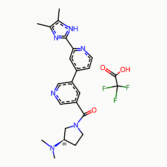 Cc1nc(-c2cc(-c3cncc(C(=O)N4CC[C@@H](N(C)C)C4)c3)ccn2)[nH]c1C.O=C(O)C(F)(F)F